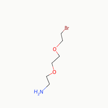 NCCOCCOCCBr